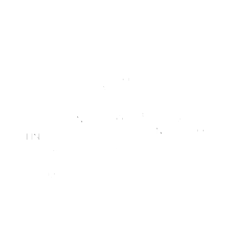 O=C(CN1CCNC(=O)C1c1cccc(CN2C(=O)c3ccccc3C2=O)c1)c1ccccc1